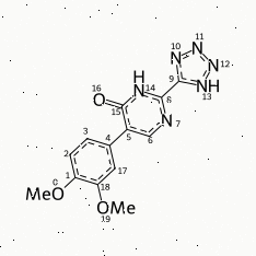 COc1ccc(-c2cnc(-c3nnn[nH]3)[nH]c2=O)cc1OC